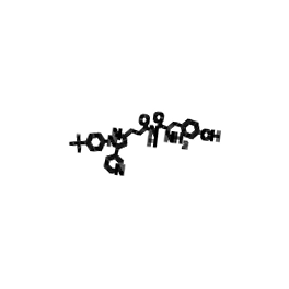 CC(C)(C)c1ccc(-n2nc(CCC(=O)NC(=O)C(N)Cc3ccc(O)cc3)cc2-c2cccnc2)cc1